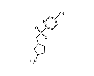 N#Cc1ccc(S(=O)(=O)CC2CCC(N)C2)nc1